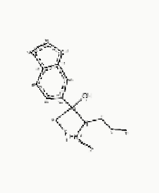 CCCC(NC)C(O)(CF)c1ccc2ccoc2c1